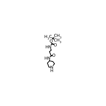 CC(C)(C)OC(=O)NCCC(=O)NC1CCNCC1